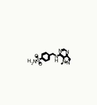 Cn1ncc2ncnc(NCc3ccc(S(N)(=O)=O)cc3)c21